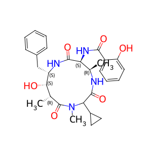 C[C@H]1NC(=O)C(C2CC2)N(C)C(=O)[C@H](C)[C@H](O)[C@H](Cc2ccccc2)NC(=O)[C@H]1NC(=O)c1ccccc1O